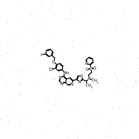 CC(c1nc(-c2cc3c(Nc4ccc(OCc5cccc(F)c5)c(Cl)c4)ncnc3cn2)cs1)N(C)CCS(=O)(=O)c1ccccn1